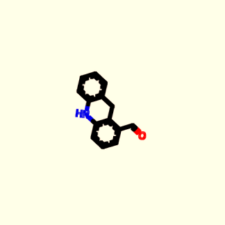 O=Cc1cccc2c1Cc1ccccc1N2